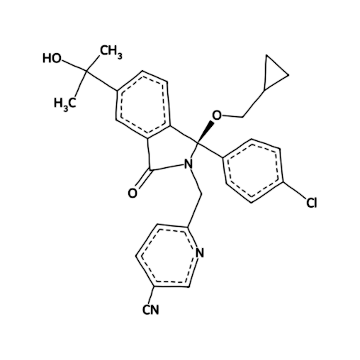 CC(C)(O)c1ccc2c(c1)C(=O)N(Cc1ccc(C#N)cn1)[C@@]2(OCC1CC1)c1ccc(Cl)cc1